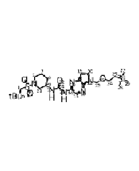 CC(C)(C)CS(=O)(=O)N1CCC[C@H](NC(=O)Nc2cnc3c(ccn3COCC[Si](C)(C)C)n2)C1